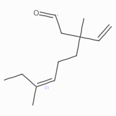 C=CC(C)(C[C]=O)CC/C=C(/C)CC